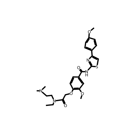 CCN(CCN(C)C)C(=O)COc1ccc(C(=O)Nc2nc(-c3ccc(OC)cc3)cs2)cc1OC